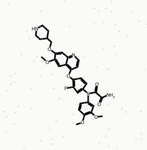 COc1ccc(N(C(=O)C(N)=O)c2ccc(Oc3ccnc4cc(OCC5CCNCC5)c(OC)cc34)c(F)c2)cc1OC